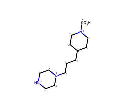 O=C(O)N1CCC(CCCN2CCNCC2)CC1